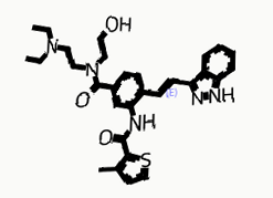 CCN(CC)CCN(CCO)C(=O)c1ccc(/C=C/c2n[nH]c3ccccc23)c(NC(=O)c2sccc2C)c1